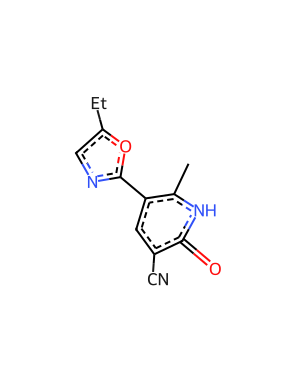 CCc1cnc(-c2cc(C#N)c(=O)[nH]c2C)o1